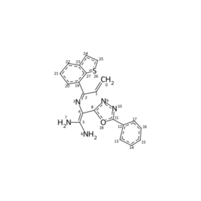 C=C/C(=N\C(=C(N)N)c1nnc(-c2ccccc2)o1)c1cccc2ccsc12